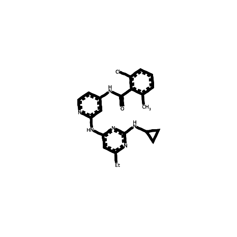 CCc1cc(Nc2cc(NC(=O)c3c(C)cccc3Cl)ccn2)nc(NC2CC2)n1